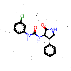 O=C(Nc1cccc(Cl)c1)N[C@H]1C(=O)NC[C@@H]1c1ccccc1